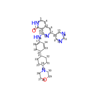 O=c1[nH]ccc2cc(-c3cncnc3)nc(NC3=CC[C@@H](C4CCC(N5CCOCC5)CC4)C=C3)c12